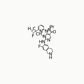 CC(C)n1c(=O)c2cnc(Nc3cc4c(cc3F)CNCC4)nc2n1-c1cccc(C(C)(C)CF)n1